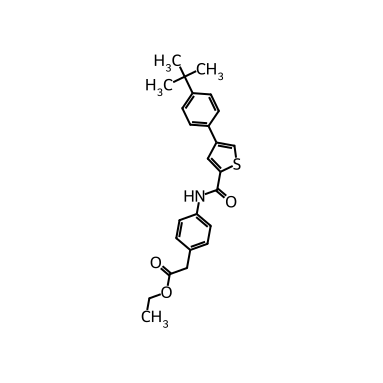 CCOC(=O)Cc1ccc(NC(=O)c2cc(-c3ccc(C(C)(C)C)cc3)cs2)cc1